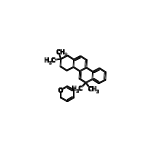 C1=CCOC=C1.CC1(C)CCC2C(=CC=C3C2=CC(C)(C)c2ccccc23)C1